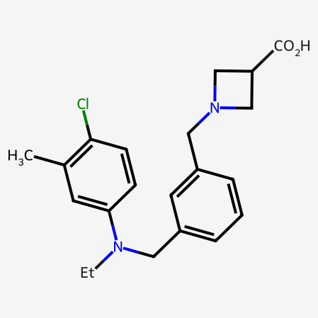 CCN(Cc1cccc(CN2CC(C(=O)O)C2)c1)c1ccc(Cl)c(C)c1